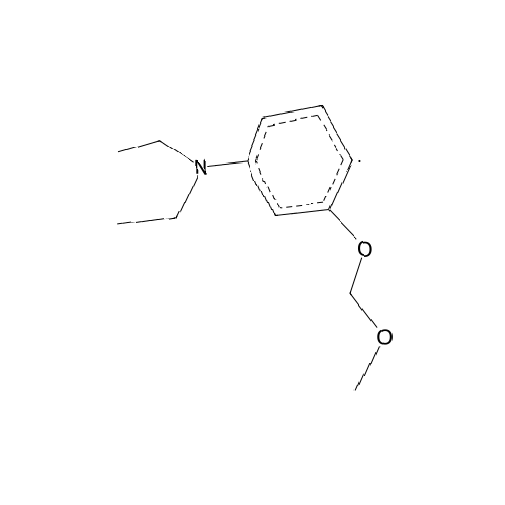 CCN(CC)c1cc[c]c(OCOC)c1